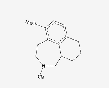 COc1ccc2c3c1CCN(C#N)CC3CCC2